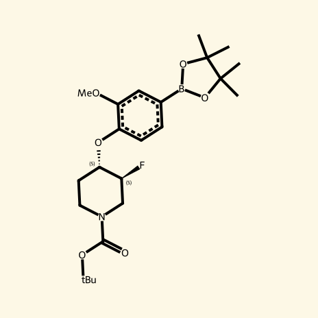 COc1cc(B2OC(C)(C)C(C)(C)O2)ccc1O[C@H]1CCN(C(=O)OC(C)(C)C)C[C@@H]1F